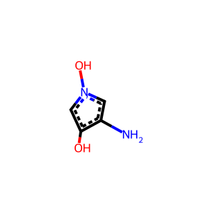 Nc1cn(O)cc1O